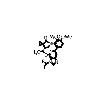 COc1ccc(-c2cc3ncn(C(F)F)c3c(OC(C)[C@H]3CNC(=O)C34CC4)n2)cc1OC